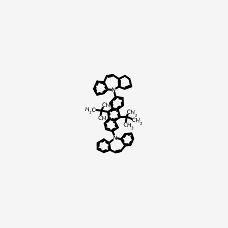 CC(C)(C)c1c2ccc(N3c4ccccc4C=Cc4ccccc43)cc2c(C(C)(C)C)c2ccc(N3C4=C(C=Cc5ccccc53)CCC=C4)cc12